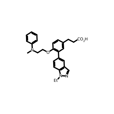 CCn1ncc2cc(-c3cc(CCC(=O)O)ccc3OCCN(C)c3ccccc3)ccc21